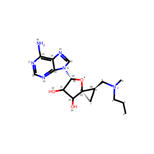 CCCN(C)C[C@H]1C[C@]12O[C@@H](n1cnc3c(N)ncnc31)C(O)C2O